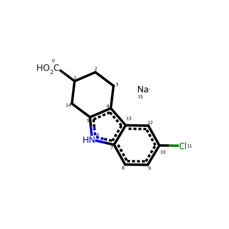 O=C(O)C1CCc2c([nH]c3ccc(Cl)cc23)C1.[Na]